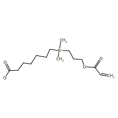 C=CC(=O)OCCC[N+](C)(C)CCCCCCC(=O)[O-]